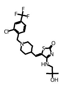 CC(C)(O)CNC1=NC(=O)S/C1=C\C1CCN(Cc2ccc(C(F)(F)F)cc2Cl)CC1